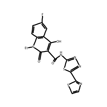 CCn1c(=O)c(C(=O)Nc2nnc(-c3nccs3)s2)c(O)c2cc(F)ccc21